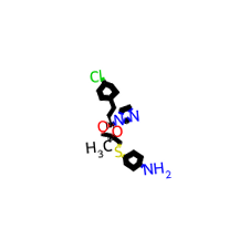 C[C@@]1(CSc2ccc(N)cc2)CO[C@](CCc2ccc(Cl)cc2)(n2ccnc2)O1